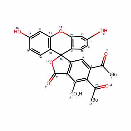 CC(C)(C)C(=O)c1cc2c(c(C(=O)O)c1C(=O)C(C)(C)C)C(=O)OC21c2ccc(O)cc2Oc2cc(O)ccc21